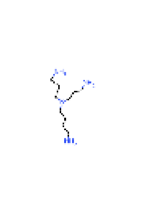 NCCCCN(CCCN)CCCN